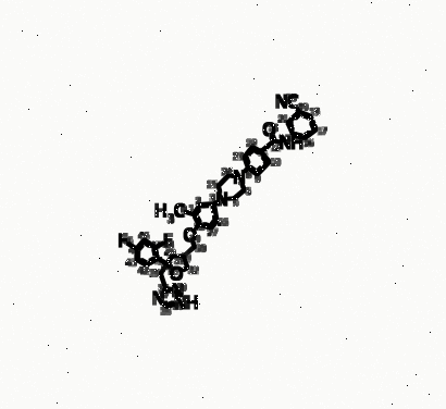 Cc1cc(N2CCN(c3ccc(C(=O)Nc4cccc(C#N)c4)cc3)CC2)ccc1OC[C@H]1CO[C@](Cc2nc[nH]n2)(c2ccc(F)cc2F)C1